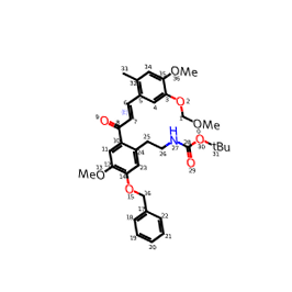 COCOc1cc(/C=C/C(=O)c2cc(OC)c(OCc3ccccc3)cc2CCNC(=O)OC(C)(C)C)c(C)cc1OC